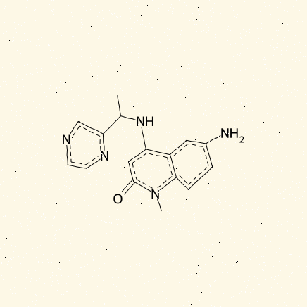 CC(Nc1cc(=O)n(C)c2ccc(N)cc12)c1cnccn1